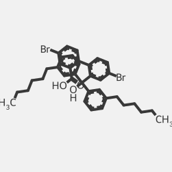 CCCCCCc1cccc(C(O)(c2cccc(CCCCCC)c2)c2cc(Br)ccc2-c2ccc(Br)cc2C(=O)O)c1